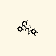 Cc1cc(NC(=O)C(=O)N2C[C@@H](C)CC[C@@H]2c2ccccc2)cnc1C